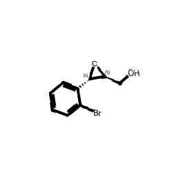 OC[C@@H]1O[C@H]1c1ccccc1Br